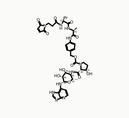 CC(C)[C@H](NC(=O)CCN1C(=O)C=CC1=O)C(=O)N[C@@H](C)C(=O)Nc1ccc(COC(=O)N2CC[C@H](O)[C@@H]2C(=O)N[C@@H]2[C@@H](O)[C@@H](O)[C@@H](Nc3ccnc4nc[nH]c34)O[C@H]2C)cc1